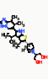 Cc1c(-c2[nH]c3sc([C@@H]4CC5C[C@H]4CN5C(CO)CO)c(C)c3c2C(C)C)cn2ncnc2c1C